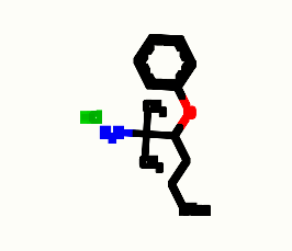 CCCCCCCCCCCC(Oc1ccccc1)C(C)(C)N.Cl